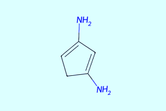 NC1=CCC(N)=C1